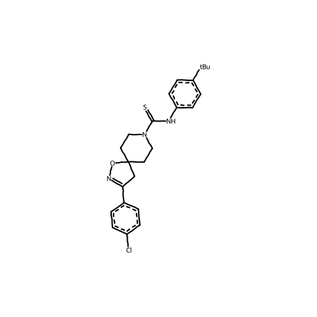 CC(C)(C)c1ccc(NC(=S)N2CCC3(CC2)CC(c2ccc(Cl)cc2)=NO3)cc1